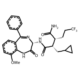 COc1cccc2c1NC(=O)[C@@H](NC(=O)[C@@H](CC1CC1)[C@@H](CCC(F)(F)F)C(N)=O)N=C2c1ccccc1